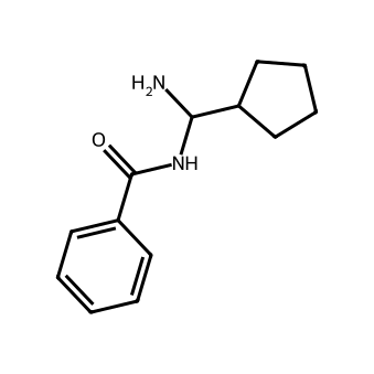 NC(NC(=O)c1ccccc1)C1CCCC1